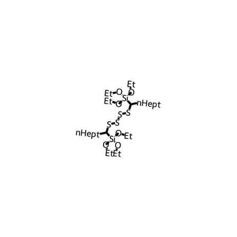 CCCCCCCC(SSSSC(CCCCCCC)[Si](OCC)(OCC)OCC)[Si](OCC)(OCC)OCC